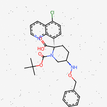 CC(C)(C)OC(=O)N1C[C@H](NOCc2ccccc2)CC[C@@]1(C(=O)O)c1ccc(Cl)c2cccnc12